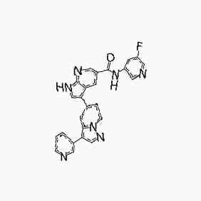 O=C(Nc1cncc(F)c1)c1cnc2[nH]cc(-c3ccn4ncc(-c5cccnc5)c4c3)c2c1